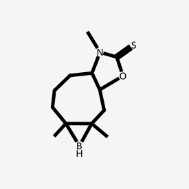 CN1C(=S)OC2CC3(C)BC3(C)CCCC21